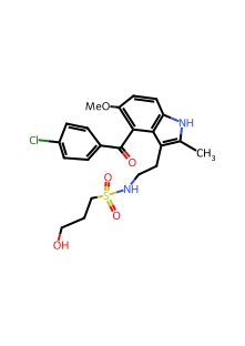 COc1ccc2[nH]c(C)c(CCNS(=O)(=O)CCCO)c2c1C(=O)c1ccc(Cl)cc1